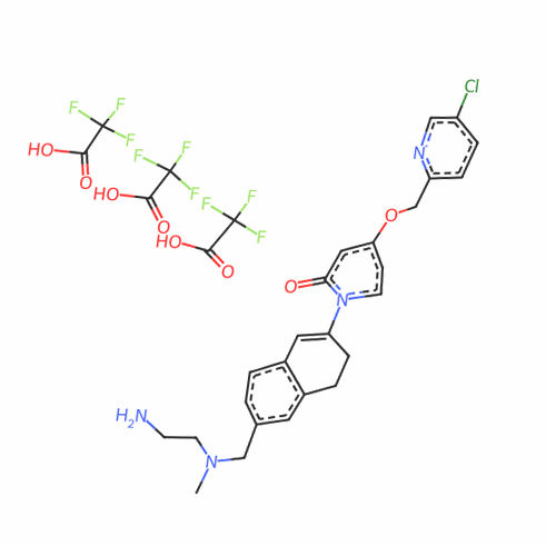 CN(CCN)Cc1ccc2c(c1)CCC(n1ccc(OCc3ccc(Cl)cn3)cc1=O)=C2.O=C(O)C(F)(F)F.O=C(O)C(F)(F)F.O=C(O)C(F)(F)F